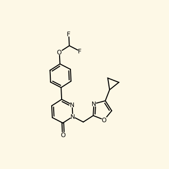 O=c1ccc(-c2ccc(OC(F)F)cc2)nn1Cc1nc(C2CC2)co1